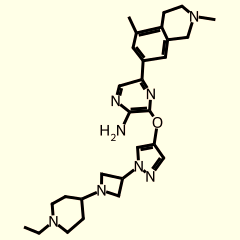 CCN1CCC(N2CC(n3cc(Oc4nc(-c5cc(C)c6c(c5)CN(C)CC6)cnc4N)cn3)C2)CC1